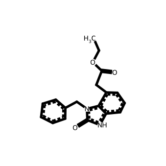 CCOC(=O)Cc1cccc2[nH]c(=O)n(Cc3ccccc3)c12